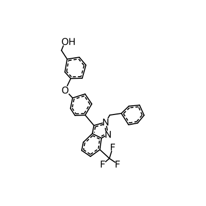 OCc1cccc(Oc2ccc(-c3c4cccc(C(F)(F)F)c4nn3Cc3ccccc3)cc2)c1